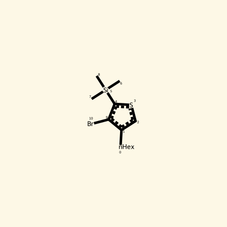 CCCCCCc1csc([Si](C)(C)C)c1Br